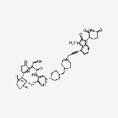 CC(=N)/C(=C\N[C@H]1CC[C@H](CN2CCN(CC#Cc3cccc4c3n(C)c(=O)n4C3CCC(=O)NC3=O)CC2)CC1)NC(=O)/C(C=N)=C1\N=C(N2C[C@H]3C[C@@H]2CO3)C=CN1